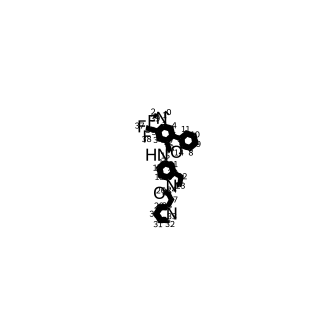 CN(C)c1cc(-c2ccccc2)c(C(=O)Nc2ccc3c(c2)CCN3C(=O)Cc2ccccn2)cc1C(F)(F)F